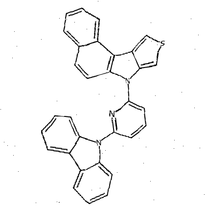 c1cc(-n2c3ccccc3c3ccccc32)nc(-n2c3cscc3c3c4ccccc4ccc32)c1